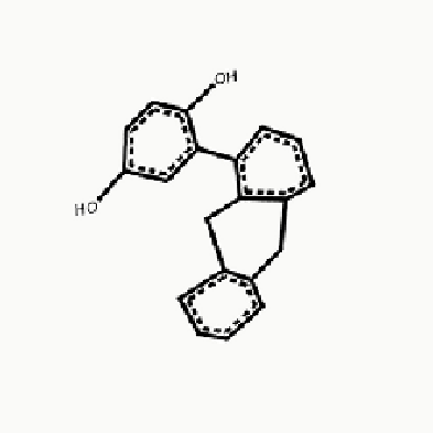 Oc1ccc(O)c(-c2cccc3c2Cc2ccccc2C3)c1